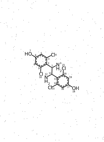 NC(c1c(Cl)cc(O)cc1Cl)C(N)c1c(Cl)cc(O)cc1Cl